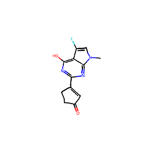 Cn1cc(F)c2c(O)nc(C3=CC(=O)CC3)nc21